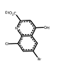 CCOC(=O)c1cc(O)c2cc(Br)cc(Cl)c2n1